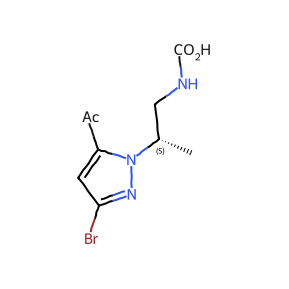 CC(=O)c1cc(Br)nn1[C@@H](C)CNC(=O)O